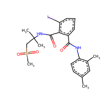 Cc1ccc(NC(=O)c2cccc(I)c2C(=O)NC(C)(C)CS(C)(=O)=O)c(C)c1